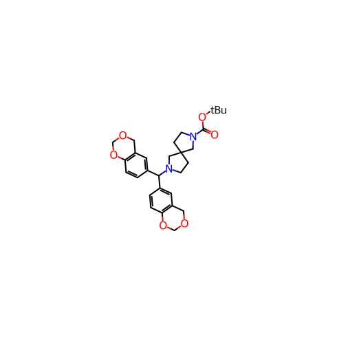 CC(C)(C)OC(=O)N1CCC2(CCN(C(c3ccc4c(c3)COCO4)c3ccc4c(c3)COCO4)C2)C1